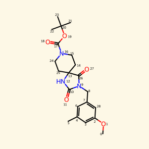 COc1cc(C)cc(CN2C(=O)NC3(CCN(C(=O)OC(C)(C)C)CC3)C2=O)c1